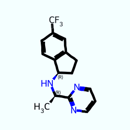 C[C@@H](N[C@@H]1CCc2cc(C(F)(F)F)ccc21)c1ncccn1